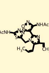 C=Cc1nc(-c2nonc2NC(C)=O)n(Cc2nnc(NC(C)=O)s2)c1/C=C\C